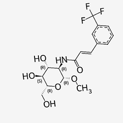 CO[C@@H]1O[C@H](CO)[C@@H](O)[C@H](O)[C@H]1NC(=O)C=Cc1cccc(C(F)(F)F)c1